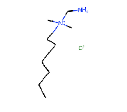 CCCCCC[N+](C)(C)CN.[Cl-]